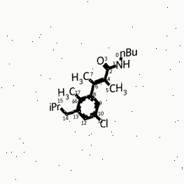 CCCCNC(=O)/C(C)=C(\C)c1cc(Cl)cc(CC(C)C)c1C